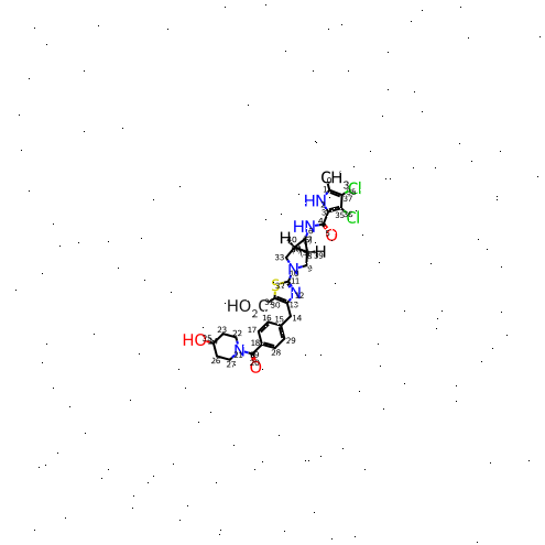 Cc1[nH]c(C(=O)N[C@H]2[C@@H]3CN(c4nc(Cc5ccc(C(=O)N6CCC(O)CC6)cc5)c(C(=O)O)s4)C[C@@H]32)c(Cl)c1Cl